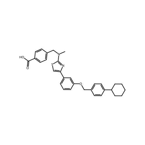 CN(Cc1ccc(C(=O)O)cc1)c1nc(-c2cccc(OCc3ccc(C4CCCCC4)cc3)c2)cs1